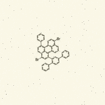 Brc1ccc2c3c(-c4ccccc4)ccc4c(Br)cc(-c5cc(-c6ccccc6)ccc5-c5ccccc5)c(c5cccc1c25)c43